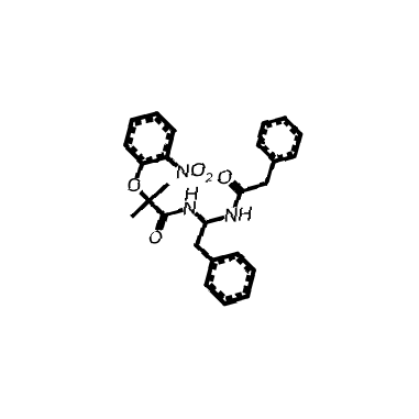 CC(C)(Oc1ccccc1[N+](=O)[O-])C(=O)NC(Cc1ccccc1)NC(=O)Cc1ccccc1